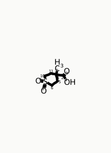 CC1(C(=O)O)CCS(=O)(=O)CC1